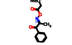 COCC(=O)O/N=C(\C)C(=O)c1ccccc1